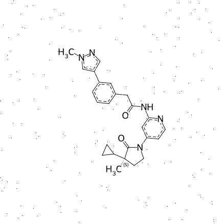 Cn1cc(-c2cccc(CC(=O)Nc3cc(N4CC[C@@](C)(C5CC5)C4=O)ccn3)c2)cn1